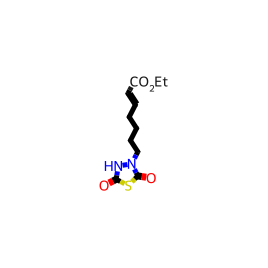 CCOC(=O)C=CCCCCn1[nH]c(=O)sc1=O